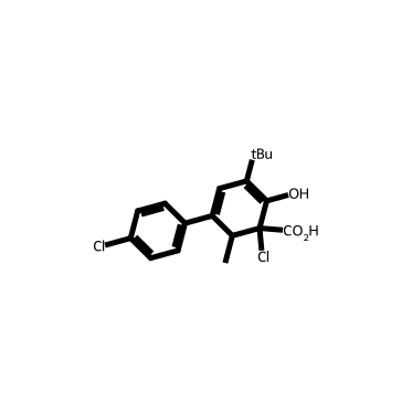 CC1C(c2ccc(Cl)cc2)=CC(C(C)(C)C)=C(O)C1(Cl)C(=O)O